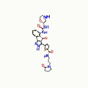 O=C(Nc1cccc2c1C(=O)c1c-2n[nH]c1-c1ccc(C(=O)NCCCN2CCCC2=O)s1)NC1CNCCO1